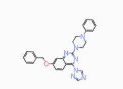 c1ccc(COc2ccc3c(-n4cncn4)nc(N4CCN(c5ccccc5)CC4)nc3c2)cc1